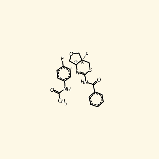 CC(=O)Nc1ccc(F)c([C@]23COC[C@@]2(F)CSC(NC(=O)c2ccccc2)=N3)c1